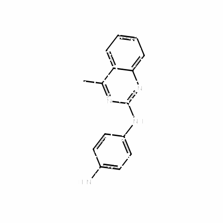 Cc1nc(Nc2ccc(N)cc2)nc2ccccc12